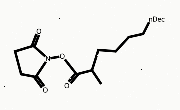 CCCCCCCCCCCCCCC(C)C(=O)ON1C(=O)CCC1=O